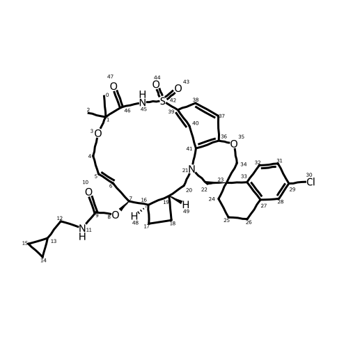 CC1(C)OC/C=C/[C@H](OC(=O)NCC2CC2)[C@@H]2CC[C@H]2CN2C[C@@]3(CCCc4cc(Cl)ccc43)COc3ccc(cc32)S(=O)(=O)NC1=O